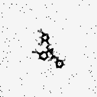 COC1=CC([C@]2(COc3cnc(C)nc3C)C[C@H]2C(=O)Nc2ccccn2)CC=C1